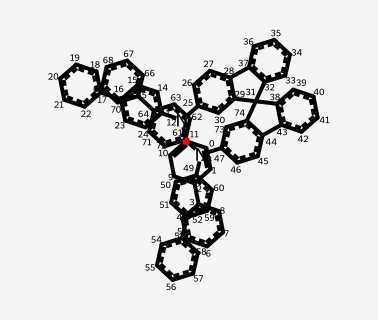 C1=CC(c2ccccc2)CC=C1N(c1ccc(-c2ccccc2)cc1)c1ccc2c(c1)C1(c3ccccc3-2)c2ccccc2-c2ccc(N(c3ccc(-c4ccccc4)cc3)c3ccc(-c4ccccc4)cc3)cc21